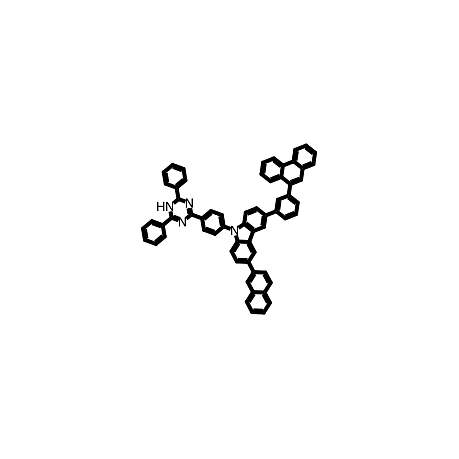 c1ccc(C2=NC(c3ccc(-n4c5ccc(-c6cccc(-c7cc8ccccc8c8ccccc78)c6)cc5c5cc(-c6ccc7ccccc7c6)ccc54)cc3)=NC(c3ccccc3)N2)cc1